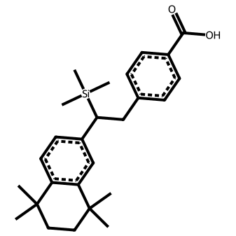 CC1(C)CCC(C)(C)c2cc(C(Cc3ccc(C(=O)O)cc3)[Si](C)(C)C)ccc21